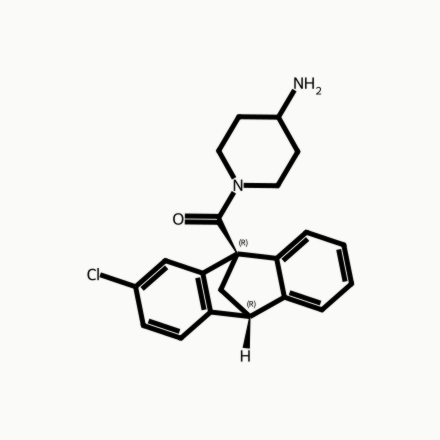 NC1CCN(C(=O)[C@]23C[C@H](c4ccccc42)c2ccc(Cl)cc23)CC1